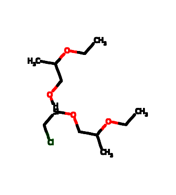 CCOC(C)CO[SiH](CCl)OCC(C)OCC